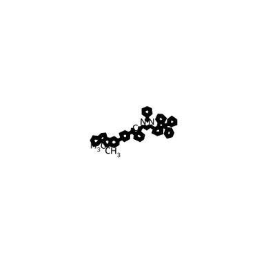 CC1(C)c2ccc(-c3ccc(-c4ccc(-c5cc(-c6cccc7c6-c6ccccc6C7(c6ccccc6)c6ccccc6)nc(-c6ccccc6)n5)c5ccccc45)cc3)cc2-c2ccc3ccccc3c21